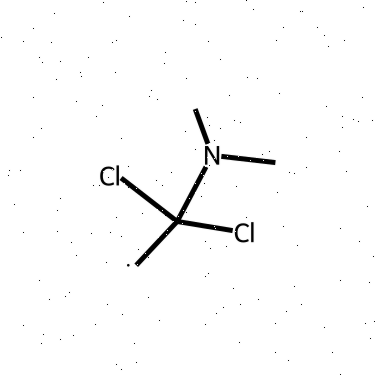 [CH2]C(Cl)(Cl)N(C)C